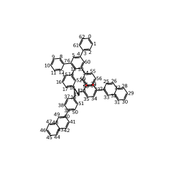 c1ccc(-c2cc(-c3ccccc3)c(-c3cccc(N(c4ccc(-c5ccc6ccccc6c5)cc4)c4ccc(-c5ccc6ccccc6c5)cc4)c3)c(-c3ccccc3)c2)cc1